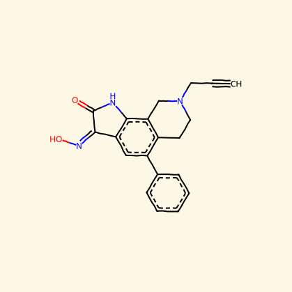 C#CCN1CCc2c(-c3ccccc3)cc3c(c2C1)NC(=O)/C3=N\O